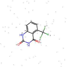 O=c1[nH]c(=O)c2c(C(F)(F)F)cccc2[nH]1